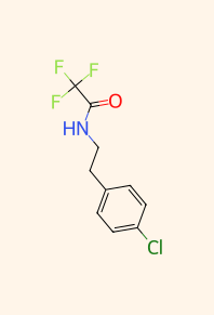 O=C(NCCc1ccc(Cl)cc1)C(F)(F)F